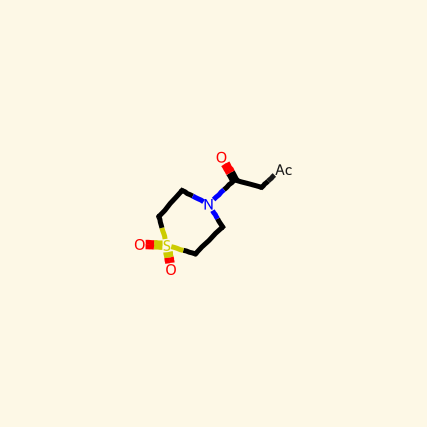 CC(=O)CC(=O)N1CCS(=O)(=O)CC1